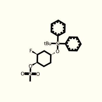 CC(C)(C)[Si](O[C@@H]1CC[C@@H](OS(C)(=O)=O)[C@@H](F)C1)(c1ccccc1)c1ccccc1